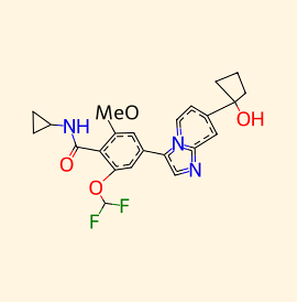 COc1cc(-c2cnc3cc(C4(O)CCC4)ccn23)cc(OC(F)F)c1C(=O)NC1CC1